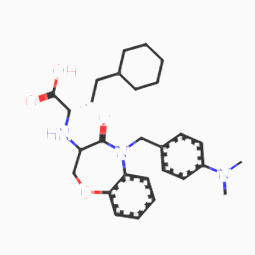 CN(C)c1ccc(CN2C(=O)C(N[C@@H](CCC3CCCCC3)C(=O)O)COc3ccccc32)cc1